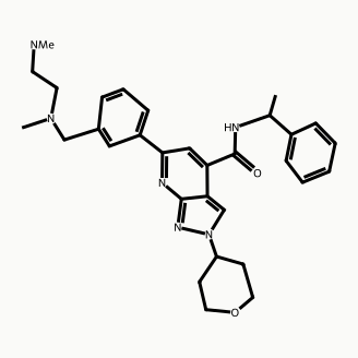 CNCCN(C)Cc1cccc(-c2cc(C(=O)NC(C)c3ccccc3)c3cn(C4CCOCC4)nc3n2)c1